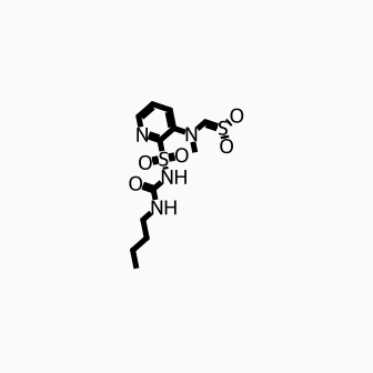 CCCCNC(=O)NS(=O)(=O)c1ncccc1N(C)C=S(=O)=O